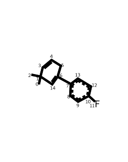 CC1(C)C=CCC(c2ccc(F)cc2)=C1